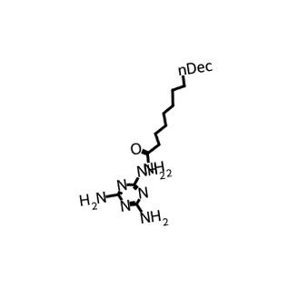 CCCCCCCCCCCCCCCCCC(N)=O.Nc1nc(N)nc(N)n1